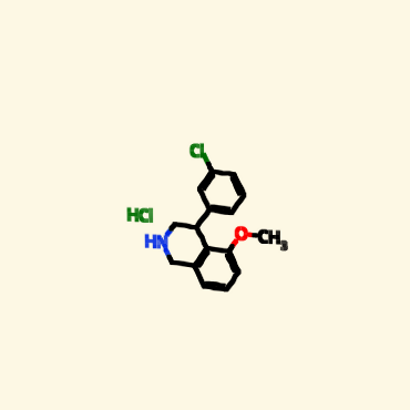 COc1cccc2c1C(c1cccc(Cl)c1)CNC2.Cl